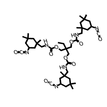 CCC(COC(=O)NCC1(C)CC(N=C=O)CC(C)(C)C1)(COC(=O)NCC1(C)CC(N=C=O)CC(C)(C)C1)COC(=O)NCC1(C)CC(N=C=O)CC(C)(C)C1